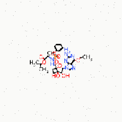 CCOc1nc(N)nc2c1ncn2[C@@H]1O[C@@]2(COP(=O)(N[C@H](C)C(=O)OC(C)C)Oc3ccccc3)CCC2(O)[C@H]1O